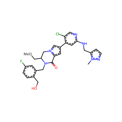 COCC1Cn2cc(-c3cc(NCc4ccnn4C)ncc3Cl)cc2C(=O)N1Cc1cc(F)ccc1CO